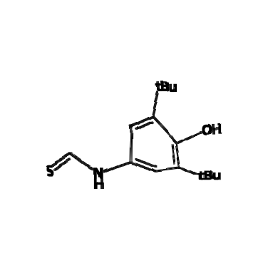 CC(C)(C)c1cc(NC=S)cc(C(C)(C)C)c1O